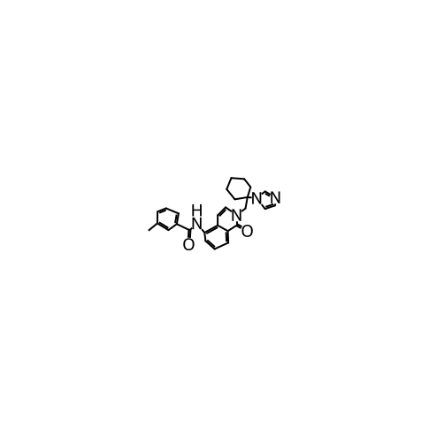 Cc1cccc(C(=O)Nc2cccc3c(=O)n(CC4(n5ccnc5)CCCCC4)ccc23)c1